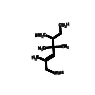 CCCC(C)CC(C)=CC(C)(C)C(CC(=O)O)C(=O)O